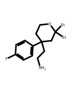 CCC1(CC)CC(CCN)(c2ccc(F)cc2)CCO1